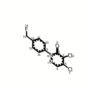 O=c1c(Cl)c(Cl)cnn1-c1ccc(CF)cc1